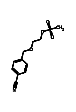 CS(=O)(=O)OCCOCc1ccc(C#N)cc1